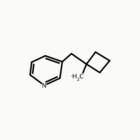 [CH2]C1(Cc2cccnc2)CCC1